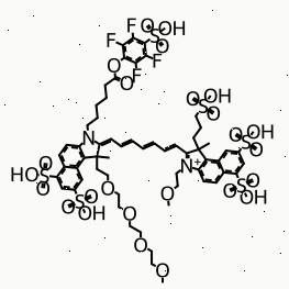 COCCOCCOCCOCCC1(C)\C(=C/C=C/C=C/C=C/C2=[N+](CCOC)c3ccc4c(S(=O)(=O)O)cc(S(=O)(=O)O)cc4c3C2(C)CCCS(=O)(=O)O)N(CCCCCC(=O)Oc2c(F)c(F)c(S(=O)(=O)O)c(F)c2F)c2ccc3c(S(=O)(=O)O)cc(S(=O)(=O)O)cc3c21